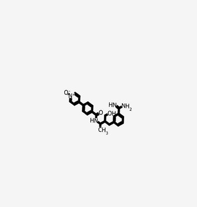 CC(NC(=O)c1ccc(-c2cc[n+]([O-])cc2)cc1)C(CO)Cc1cccc(C(=N)N)c1